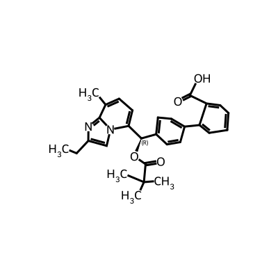 CCc1cn2c([C@H](OC(=O)C(C)(C)C)c3ccc(-c4ccccc4C(=O)O)cc3)ccc(C)c2n1